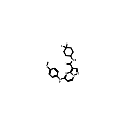 CSc1ccc(Nc2ccn3ncc(C(=O)NC4CCC(F)(F)CC4)c3n2)cc1